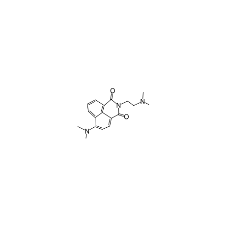 CN(C)CCN1C(=O)c2cccc3c(N(C)C)ccc(c23)C1=O